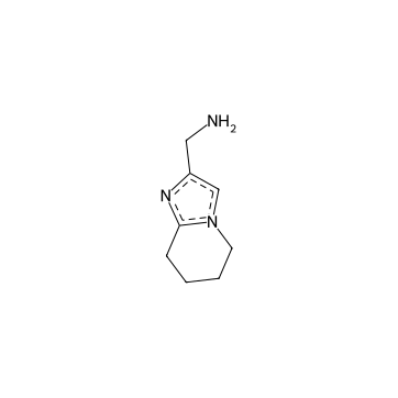 NCc1cn2c(n1)CCCC2